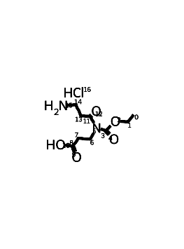 CCOC(=O)N(CCC(=O)O)C(=O)CCN.Cl